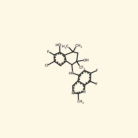 Cc1ncc2c(NC3c4cc(Cl)c(F)c(O)c4C(C)(C)CC3(O)C(F)(F)F)cc(F)c(F)c2n1